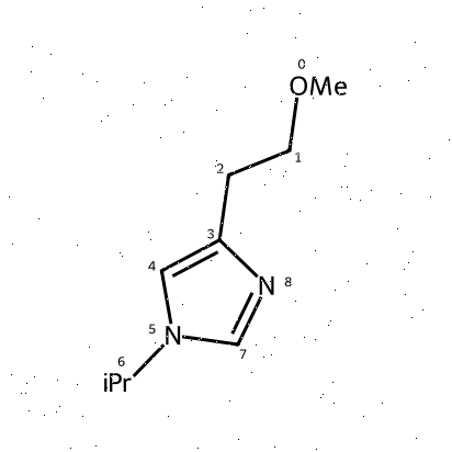 COCCc1cn(C(C)C)cn1